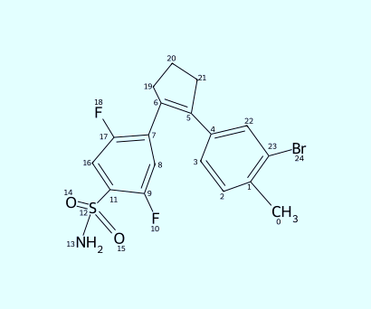 Cc1ccc(C2=C(c3cc(F)c(S(N)(=O)=O)cc3F)CCC2)cc1Br